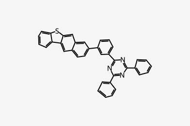 c1ccc(-c2nc(-c3ccccc3)nc(-c3cccc(-c4ccc5cc6c(cc5c4)sc4ccccc46)c3)n2)cc1